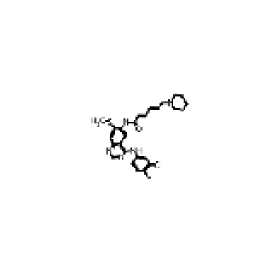 CSc1cc2ncnc(Nc3ccc(F)c(Cl)c3)c2cc1NC(=O)C=CCCCN1CCCCC1